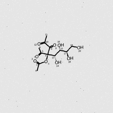 CC(=O)O[C@@](C(C)=O)(C(=O)C(C)=O)[C@@H](O)[C@H](O)[C@H](O)CO